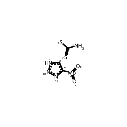 NC(=S)[S-].[O]=[Mo+](=[O])[c]1c[nH]nn1